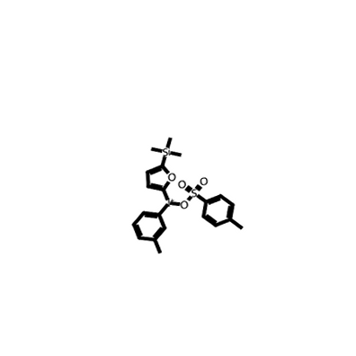 Cc1ccc(S(=O)(=O)O[I+](c2cccc(C)c2)c2ccc([Si](C)(C)C)o2)cc1